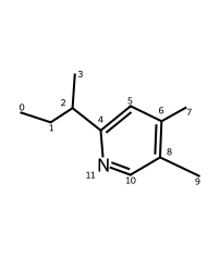 CCC(C)c1cc(C)c(C)cn1